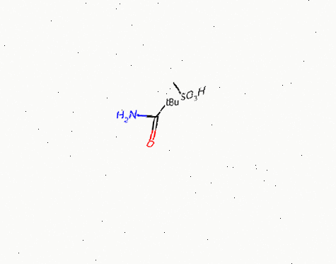 CC(C)(C)C(N)=O.CS(=O)(=O)O